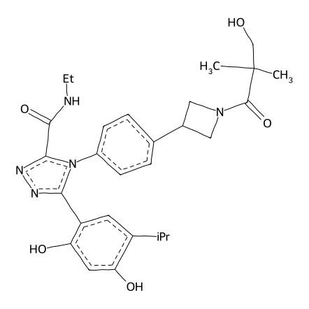 CCNC(=O)c1nnc(-c2cc(C(C)C)c(O)cc2O)n1-c1ccc(C2CN(C(=O)C(C)(C)CO)C2)cc1